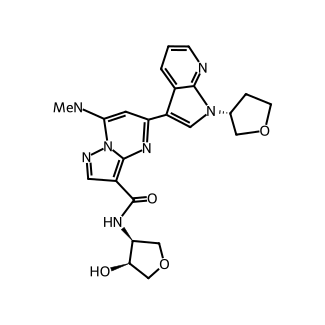 CNc1cc(-c2cn([C@@H]3CCOC3)c3ncccc23)nc2c(C(=O)N[C@H]3COC[C@H]3O)cnn12